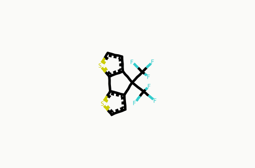 FC(F)(F)C1(C(F)(F)F)c2ccsc2-c2sccc21